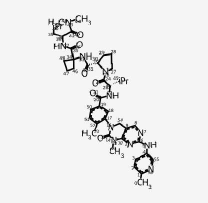 Cc1ccc(Nc2ncc3c(n2)N(C)C(=O)N(c2cc(C(=O)N[C@H](C(=O)N4CCC[C@H]4C(=O)NC4(C(=O)N[C@@H](CC(C)C)C(=O)N(C)C)CCC4)C(C)C)ccc2C)C3)cn1